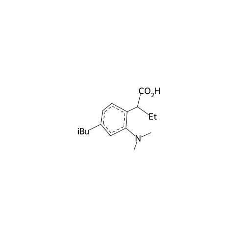 CCC(C)c1ccc(C(CC)C(=O)O)c(N(C)C)c1